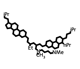 CCCC1C(CCCC(C)C)CCC2C3CCC(CCC(CC(CC)CCC4CCC5C(CCC6C7CCC(CCC(C)C)C7CCC56)C4)CN(C)CCCCNC)CC3CCC12